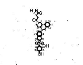 NC(=O)CCC(=O)N1CCC(N(Cc2ccccc2)c2ccc3c(c2)CN(S(=O)(=O)c2ccc(O)cc2O)C3)CC1